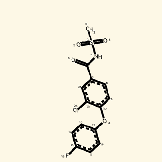 CS(=O)(=O)NC(=O)c1ccc(Oc2ccc(F)cc2)c(Cl)c1